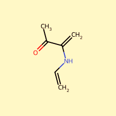 C=CNC(=C)C(C)=O